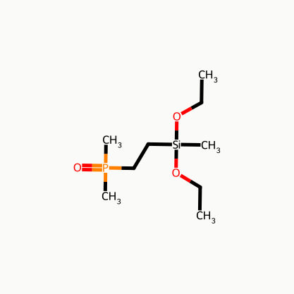 CCO[Si](C)(CCP(C)(C)=O)OCC